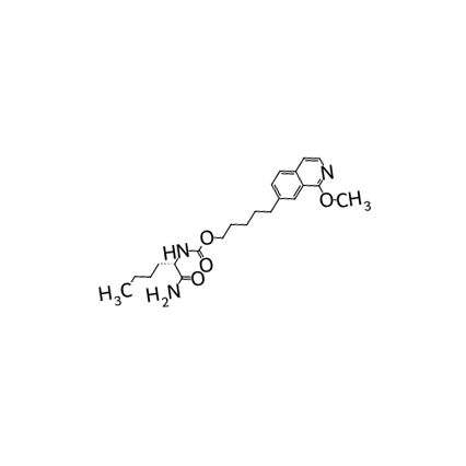 CCCC[C@H](NC(=O)OCCCCCc1ccc2ccnc(OC)c2c1)C(N)=O